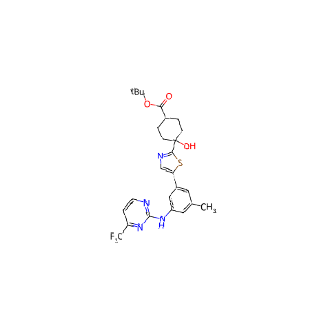 Cc1cc(Nc2nccc(C(F)(F)F)n2)cc(-c2cnc(C3(O)CCC(C(=O)OC(C)(C)C)CC3)s2)c1